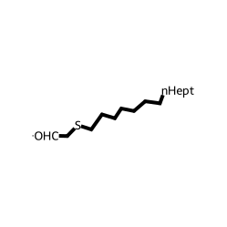 CCCCCCCCCCCCCCSC[C]=O